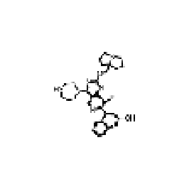 Oc1cc(-c2ncc3c(N4CCCNCC4)nc(OCC45CCCN4CCC5)nc3c2F)c2ccccc2c1